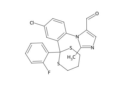 Cc1ncc(C=O)n1-c1ccc(Cl)cc1C1(c2ccccc2F)SCCCS1